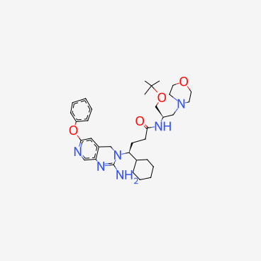 CC(C)(C)OC[C@@H](CN1CCOCC1)NC(=O)CC[C@@H](C1CCCCC1)N1Cc2cc(Oc3ccccc3)ncc2N=C1N